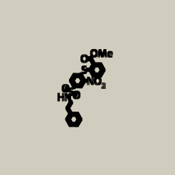 COC(=O)c1ccccc1Sc1ccc(S(=O)(=O)NCCc2ccccc2)cc1[N+](=O)[O-]